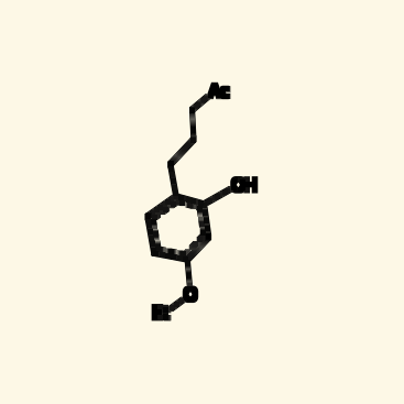 CCOc1ccc(CCCC(C)=O)c(O)c1